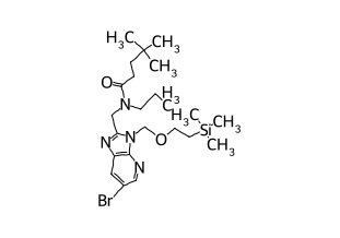 CCCN(Cc1nc2cc(Br)cnc2n1COCC[Si](C)(C)C)C(=O)CCC(C)(C)C